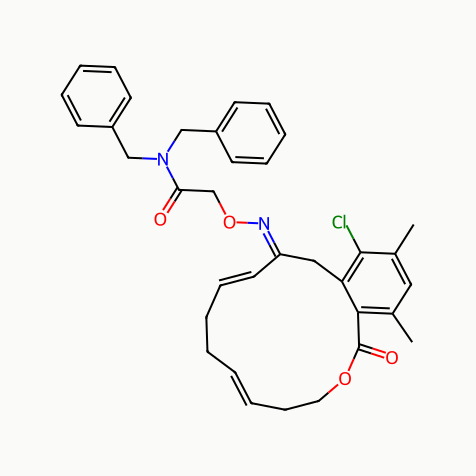 Cc1cc(C)c2c(c1Cl)CC(=N/OCC(=O)N(Cc1ccccc1)Cc1ccccc1)/C=C/CC/C=C/CCOC2=O